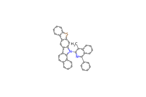 Cc1c(-n2c3cc4sc5ccccc5c4cc3c3ccc4ccccc4c32)nc(-c2ccccc2)c2ccccc12